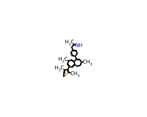 CC(=N)CC1=CCC(C2=CC(C)CCC3=CC(c4c(C)c5p(c4C)C5)=CC(C)C=C32)C=C1